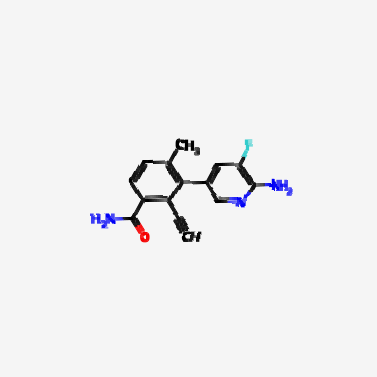 C#Cc1c(C(N)=O)ccc(C)c1-c1cnc(N)c(F)c1